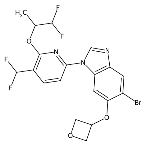 CC(Oc1nc(-n2cnc3cc(Br)c(OC4COC4)cc32)ccc1C(F)F)C(F)F